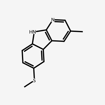 CSc1ccc2[nH]c3ncc(C)cc3c2c1